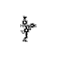 COc1cc2c(NC3CCN(C4CC4)CC3)nc(N3CCC(F)C3)nc2cc1C#CCCN(C)C